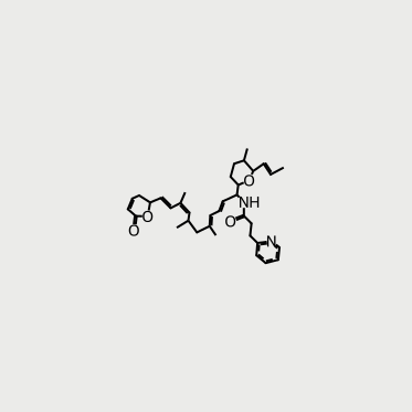 C/C=C/C1OC(C(/C=C/C=C(\C)CC(C)/C=C(C)\C=C\C2CC=CC(=O)O2)NC(=O)CCc2ccccn2)CCC1C